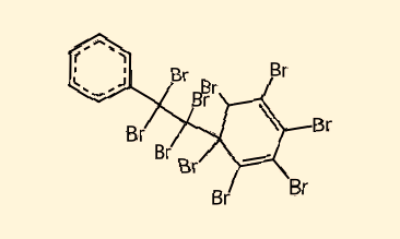 BrC1=C(Br)C(Br)C(Br)(C(Br)(Br)C(Br)(Br)c2ccccc2)C(Br)=C1Br